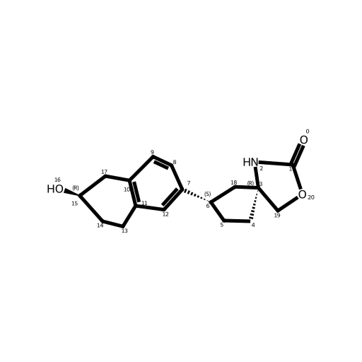 O=C1N[C@@]2(CC[C@H](c3ccc4c(c3)CC[C@@H](O)C4)C2)CO1